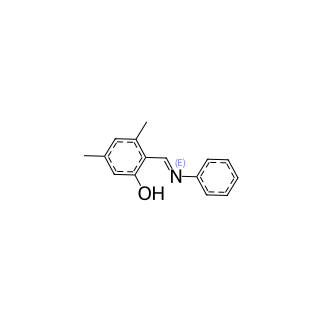 Cc1cc(C)c(/C=N/c2ccccc2)c(O)c1